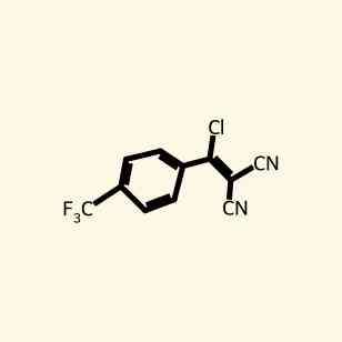 N#CC(C#N)=C(Cl)c1ccc(C(F)(F)F)cc1